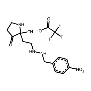 N#CC1(CCNNCc2ccc([N+](=O)[O-])cc2)NCCC1=O.O=C(O)C(F)(F)F